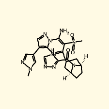 Cn1cc(-c2cnn3c(N)c(S(C)(=O)=O)c(C4C[C@H]5CC[C@@H](C4)N5C(=O)c4nnc[nH]4)nc23)cn1